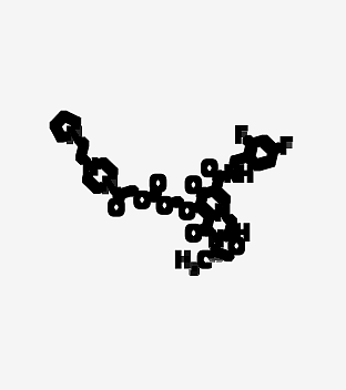 C[C@H]1CO[C@@H]2Cn3cc(C(=O)NCc4ccc(F)cc4F)c(=O)c(OCOC(=O)OCC(=O)N4CCN(CCN5CCCC5)CC4)c3C(=O)N12